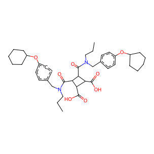 CCCN(Cc1ccc(OC2CCCCC2)cc1)C(=O)C1C(C(=O)O)C(C(=O)O)C1C(=O)N(CCC)Cc1ccc(OC2CCCCC2)cc1